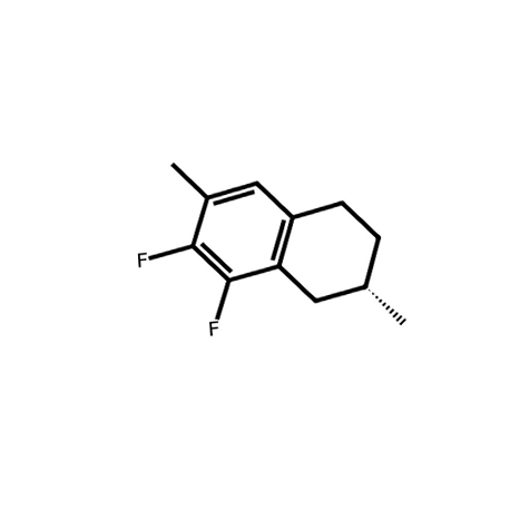 Cc1cc2c(c(F)c1F)C[C@@H](C)CC2